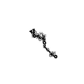 CN(CCCOCCCNC(=O)OCc1ccccc1)CC1CCC(n2cc(NC(=O)c3coc(-c4ccnc(N(CC5CC5)C(=O)OC(C)(C)C)c4)n3)c(C(F)F)n2)CC1